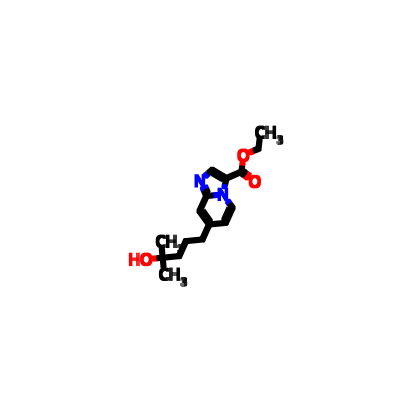 CCOC(=O)c1cnc2cc(CCCC(C)(C)O)ccn12